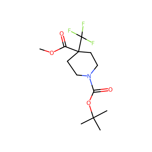 COC(=O)C1(C(F)(F)F)CCN(C(=O)OC(C)(C)C)CC1